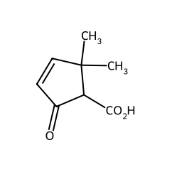 CC1(C)C=CC(=O)C1C(=O)O